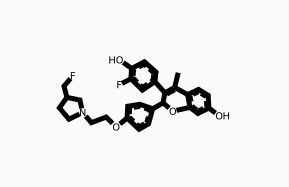 CC1=C(c2ccc(O)c(F)c2)C(c2ccc(OCCN3CCC(CF)C3)cc2)Oc2cc(O)ccc21